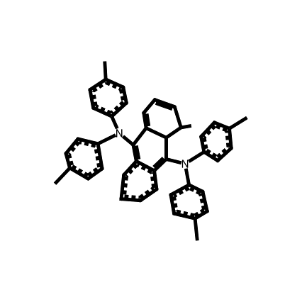 Cc1ccc(N(C2=c3ccccc3=C(N(c3ccc(C)cc3)c3ccc(C)cc3)C3C2=CC=CC3C)c2ccc(C)cc2)cc1